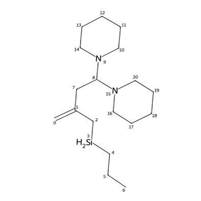 C=C(C[SiH2]CCC)CC(N1CCCCC1)N1CCCCC1